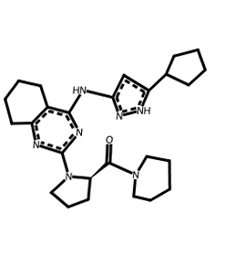 O=C([C@H]1CCCN1c1nc2c(c(Nc3cc(C4CCCC4)[nH]n3)n1)CCCC2)N1CCCCC1